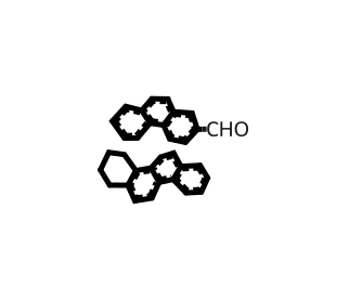 O=Cc1ccc2c(ccc3ccccc32)c1.c1ccc2c(c1)ccc1c3c(ccc12)CCCC3